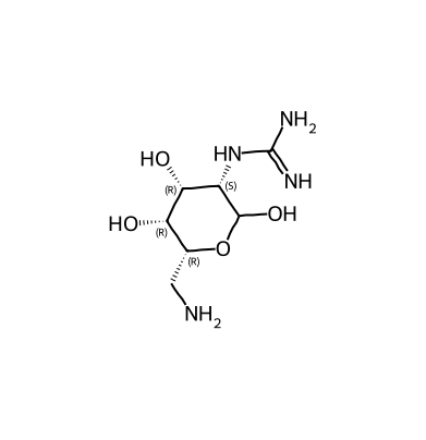 N=C(N)N[C@@H]1C(O)O[C@H](CN)[C@H](O)[C@@H]1O